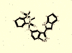 COP(=O)(Oc1ccc2[nH]nc(-c3cc4ccccc4[nH]3)c2c1)c1ccccc1S(C)(=O)=O